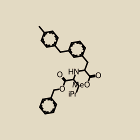 COC(=O)C(Cc1cccc(Cc2ccc(C)cc2)c1)NC(CC(C)C)C(=O)OCc1ccccc1